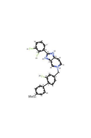 CSc1ccc(-c2ccc(Cn3ccc4nc(-c5cccc(F)c5F)nc-4c3)cc2F)cc1